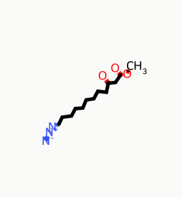 COC(=O)CC(=O)CCCCCCCCCN=[N+]=[N-]